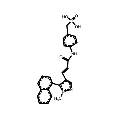 Cn1ncc(/C=C/C(=O)Nc2ccc(CP(=O)(O)O)cc2)c1-c1cccc2ccccc12